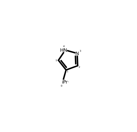 C[C](C)c1cn[nH]c1